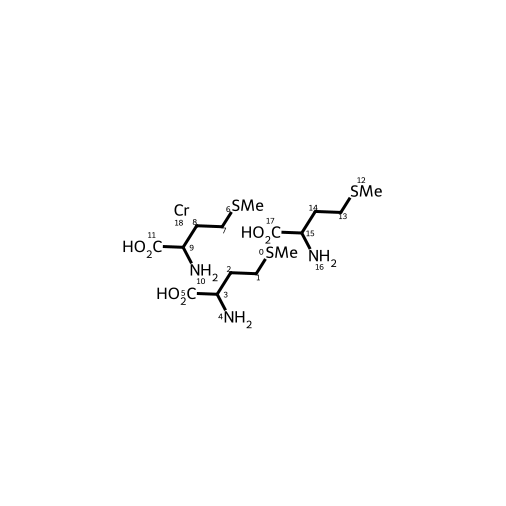 CSCCC(N)C(=O)O.CSCCC(N)C(=O)O.CSCCC(N)C(=O)O.[Cr]